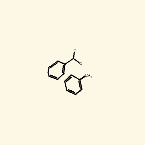 Cc1ccccc1.ClC(Cl)c1ccccc1